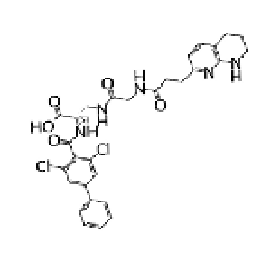 O=C(CCc1ccc2c(n1)NCCC2)NCC(=O)NC[C@H](NC(=O)c1c(Cl)cc(-c2ccccc2)cc1Cl)C(=O)O